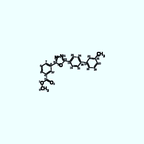 COC(=O)c1cccc(-c2nnc(-c3ccc(-c4cccc(C)c4)cc3)o2)c1